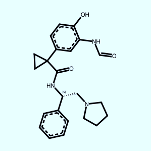 O=CNc1cc(C2(C(=O)N[C@H](CN3CCCC3)c3ccccc3)CC2)ccc1O